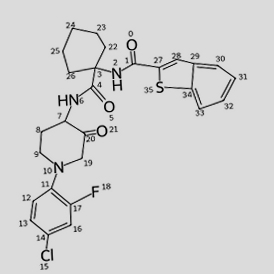 O=C(NC1(C(=O)NC2CCN(c3ccc(Cl)cc3F)CC2=O)CCCCC1)c1cc2ccccc2s1